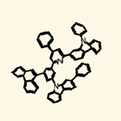 c1ccc(-c2cc(-c3cc(-c4cc5ccccc5c5ccccc45)cc(-n4c5ccccc5c5ccc(-c6ccccc6)cc54)c3)nc(-c3ccc4c5ccccc5n(-c5ccccc5)c4c3)c2)cc1